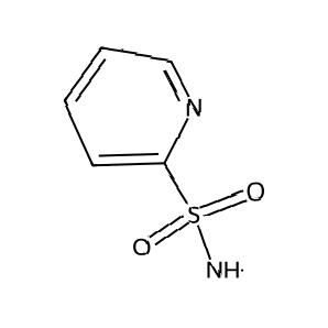 [NH]S(=O)(=O)c1ccccn1